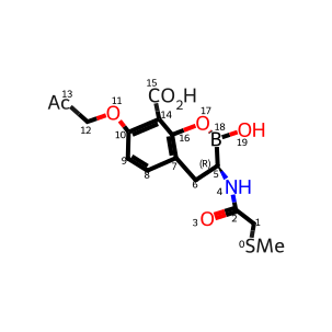 CSCC(=O)N[C@H]1Cc2ccc(OCC(C)=O)c(C(=O)O)c2OB1O